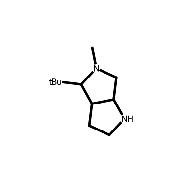 CN1CC2NCCC2C1C(C)(C)C